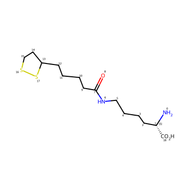 N[C@@H](CCCCNC(=O)CCCCC1CCSS1)C(=O)O